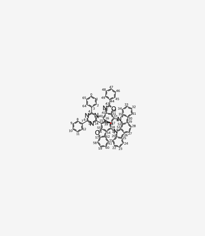 c1ccc(-c2nc(-c3ccccc3)nc(-c3ccc(-n4c5ccccc5c5ccc6c7ccccc7n(-c7cccc8nc(-c9ccccc9)oc78)c6c54)c4c3oc3ccccc34)n2)cc1